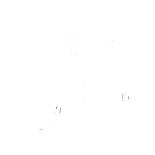 CC/C=C(\c1ccccc1)N1CCCC1